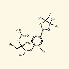 CC(C)CC(C)(OC(N)=O)C(Oc1ccc(B2OC(C)(C)C(C)(C)O2)cc1C#N)C(C)(C)C